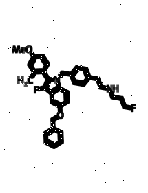 COc1ccc(-c2c(F)c3cc(OCc4ccccc4)ccc3n2Cc2ccc(CCNCCCF)cc2)c(C)c1